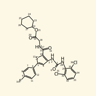 O=C(Nc1cc(-c2ccc(F)cc2)sc1C(=O)NCC(=O)OC1CCCCC1)Nc1c(Cl)cccc1Cl